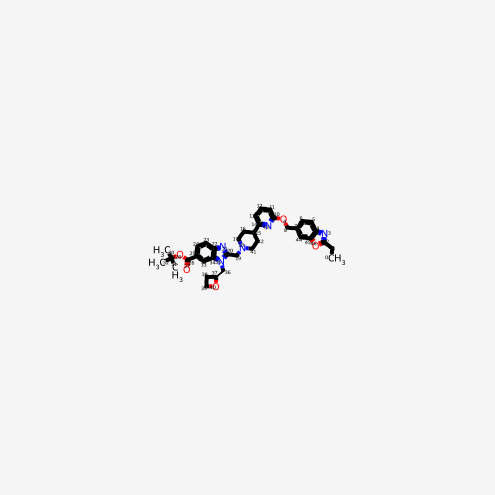 CCc1nc2ccc(COc3cccc(C4CCN(Cc5nc6ccc(C(=O)OC(C)(C)C)cc6n5C[C@@H]5CCO5)CC4)n3)cc2o1